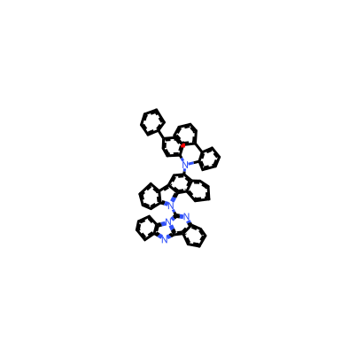 c1ccc(-c2ccc(N(c3ccccc3-c3ccccc3)c3cc4c5ccccc5n(-c5nc6ccccc6c6nc7ccccc7n56)c4c4ccccc34)cc2)cc1